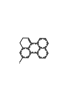 Ic1cc2c3c(c4cccc5cccc(c3c1)c54)=CCC2